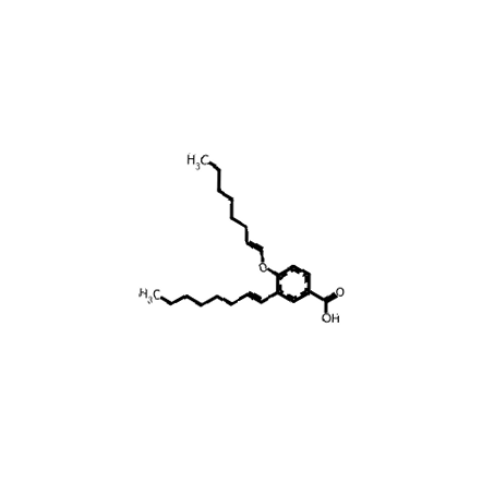 CCCCCCC=COc1ccc(C(=O)O)cc1C=CCCCCCC